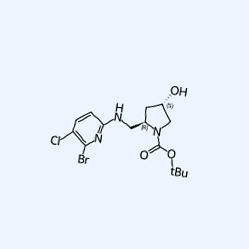 CC(C)(C)OC(=O)N1C[C@@H](O)C[C@@H]1CNc1ccc(Cl)c(Br)n1